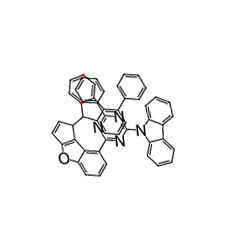 C1=CC(C2c3ccccc3-c3c(-c4ccccc4)cccc32)c2c1oc1cccc(-c3nc(-c4ccccc4)nc(-n4c5ccccc5c5ccccc54)n3)c21